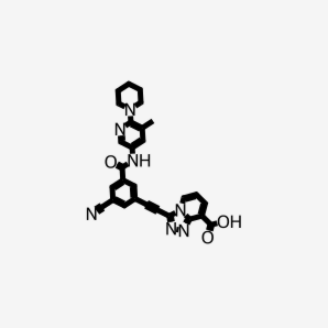 Cc1cc(NC(=O)c2cc(C#N)cc(C#Cc3nnc4c(C(=O)O)cccn34)c2)cnc1N1CCCCC1